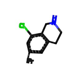 CC(C)c1cc(Cl)c2c(c1)CCNC2